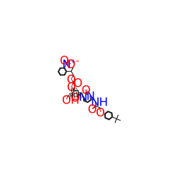 CC(COC(=O)O[C@H]1C[C@H](n2ccc(NC(=O)COc3ccc(C(C)(C)C)cc3)nc2=O)O[C@@H]1CO)c1ccccc1[N+](=O)[O-]